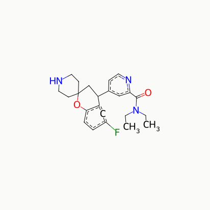 CCN(CC)C(=O)c1cc(C2CC3(CCNCC3)Oc3ccc(F)cc32)ccn1